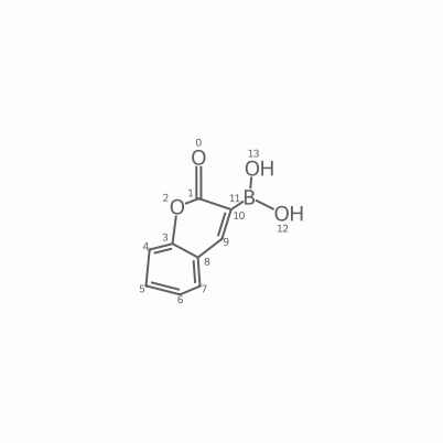 O=c1oc2ccccc2cc1B(O)O